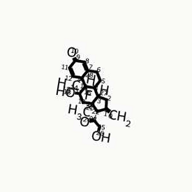 C=C1C[C@H]2[C@@H]3CCC4=CC(=O)C=C[C@]4(C)[C@@]3(F)C(O)C[C@]2(C)[C@H]1C(=O)CO